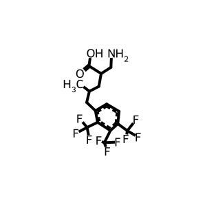 CC(Cc1ccc(C(F)(F)F)c(C(F)(F)F)c1C(F)(F)F)CC(CN)C(=O)O